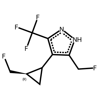 FCc1[nH]nc(C(F)(F)F)c1C1C[C@H]1CF